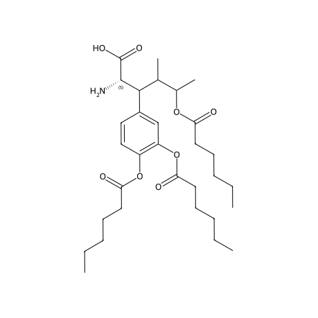 CCCCCC(=O)Oc1ccc(C(C(C)C(C)OC(=O)CCCCC)[C@H](N)C(=O)O)cc1OC(=O)CCCCC